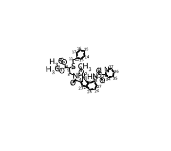 COCn1c(C(=O)NCC(SCc2ccccc2)C(OC)OC)cc2cccc(NS(=O)(=O)c3ccccn3)c21